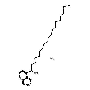 CCCCCCCCCCCCCCCCCCC(O)c1cccc2ccccc12.N